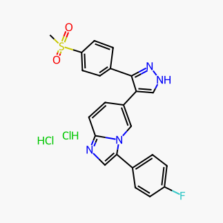 CS(=O)(=O)c1ccc(-c2n[nH]cc2-c2ccc3ncc(-c4ccc(F)cc4)n3c2)cc1.Cl.Cl